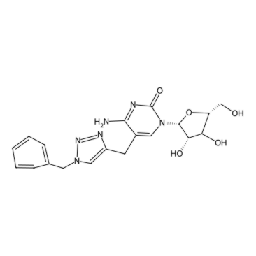 Nc1nc(=O)n([C@@H]2O[C@H](CO)C(O)[C@@H]2O)cc1Cc1cn(Cc2ccccc2)nn1